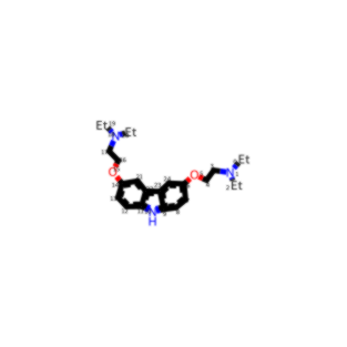 CCN(CC)CCOc1ccc2[nH]c3ccc(OCCN(CC)CC)cc3c2c1